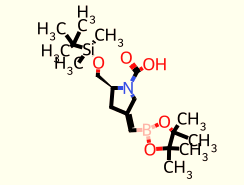 CC1(C)OB(/C=C2/C[C@@H](CO[Si](C)(C)C(C)(C)C)N(C(=O)O)C2)OC1(C)C